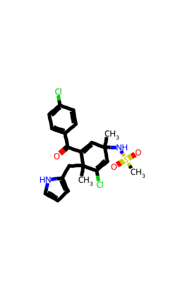 CC1(NS(C)(=O)=O)C=C(Cl)C(C)(Cc2ccc[nH]2)C(C(=O)c2ccc(Cl)cc2)=C1